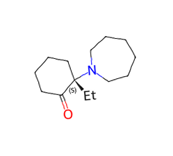 CC[C@]1(N2CCCCCC2)CCCCC1=O